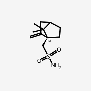 C=C1CC2CC[C@@]1(CS(N)(=O)=O)C2(C)C